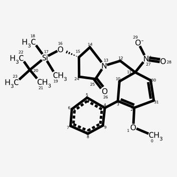 COC1=C(c2ccccc2)CC(CN2C[C@@H](O[Si](C)(C)C(C)(C)C)CC2=O)([N+](=O)[O-])C=C1